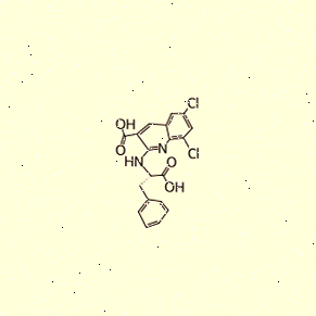 O=C(O)c1cc2cc(Cl)cc(Cl)c2nc1N[C@@H](Cc1ccccc1)C(=O)O